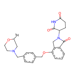 [2H]C1CN(Cc2ccc(COc3cccc4c3CN(C3CCC(=O)NC3=O)C4=O)cc2)CCO1